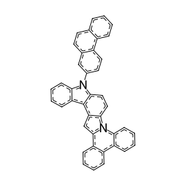 c1ccc2c(c1)ccc1cc(-n3c4ccccc4c4c5cc6c7ccccc7c7ccccc7n6c5ccc43)ccc12